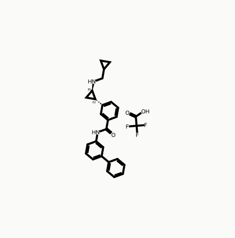 O=C(Nc1cccc(-c2ccccc2)c1)c1cccc([C@@H]2C[C@H]2NCC2CC2)c1.O=C(O)C(F)(F)F